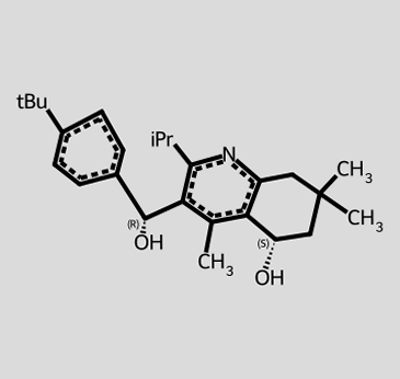 Cc1c([C@H](O)c2ccc(C(C)(C)C)cc2)c(C(C)C)nc2c1[C@@H](O)CC(C)(C)C2